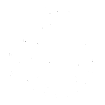 C[C@@H]1Nc2ncnc3c2cc(C2(C#N)CCS(=O)(=O)CC2)c(=O)n3CCCCCCCN2CCC(CC2)C(F)(F)c2cccc1c2F